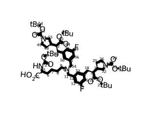 CC(C)(C)OC(=O)N[C@@H](CCCCN(Cc1cc(F)cc(C[C@H](C(=O)OC(C)(C)C)[C@H]2CCN(C(=O)OC(C)(C)C)C2)c1)Cc1cc(F)cc(C[C@H](C(=O)OC(C)(C)C)[C@H]2CCN(C(=O)OC(C)(C)C)C2)c1)C(=O)O